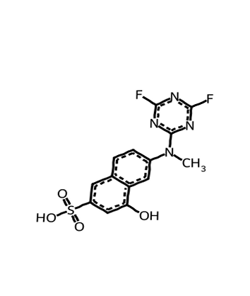 CN(c1ccc2cc(S(=O)(=O)O)cc(O)c2c1)c1nc(F)nc(F)n1